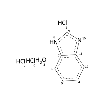 Cl.Cl.Cl.O.c1ccc2[nH]cnc2c1